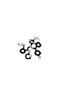 COc1ccccc1C(CN1N=C(c2ccc(Cl)cc2)c2ccccc2-n2c(C)nnc21)OC1CCCCO1